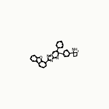 NC1(c2ccc(-c3nc4nc(-c5cccc6c5oc5ccccc56)nn4cc3-c3ccccc3)cc2)CCC1